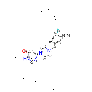 N#Cc1cc(CN2CCN(c3cc(=O)[nH]cn3)CC2)ccc1F